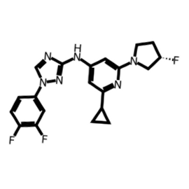 Fc1ccc(-n2cnc(Nc3cc(C4CC4)nc(N4CC[C@H](F)C4)c3)n2)cc1F